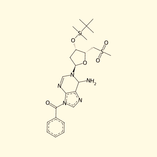 CC(C)(C)[Si](C)(C)O[C@H]1C[C@H](N2C=Nc3c(ncn3C(=O)c3ccccc3)C2N)O[C@H]1CS(C)(=O)=O